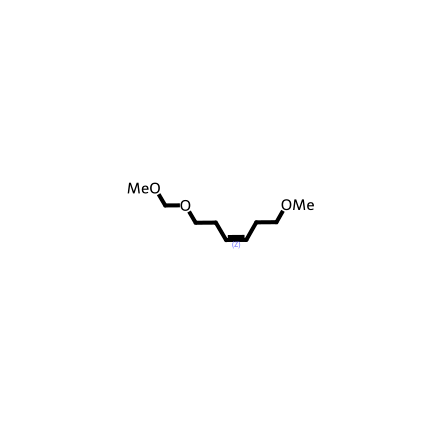 COCC/C=C\CCOCOC